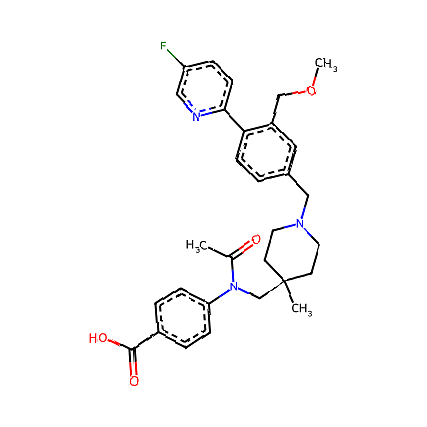 COCc1cc(CN2CCC(C)(CN(C(C)=O)c3ccc(C(=O)O)cc3)CC2)ccc1-c1ccc(F)cn1